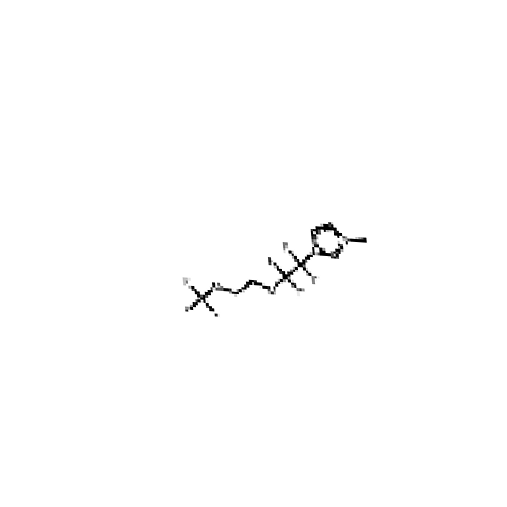 Cn1cc[n+](C(F)(F)C(F)(F)OCCOC(F)(F)F)c1